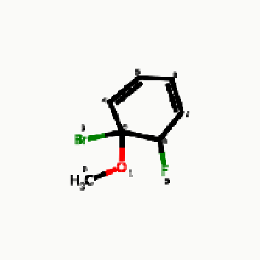 COC1(Br)C=CC=CC1F